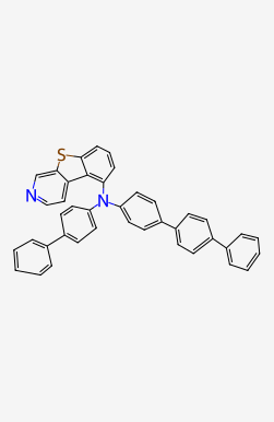 c1ccc(-c2ccc(-c3ccc(N(c4ccc(-c5ccccc5)cc4)c4cccc5sc6cnccc6c45)cc3)cc2)cc1